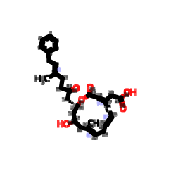 C/C(=C\Cc1ccccc1)CCC(=O)C[C@H]1C[C@H](O)C/C(C)=C/C/C=C/C/C(CC(=O)O)=C\C(=O)O1